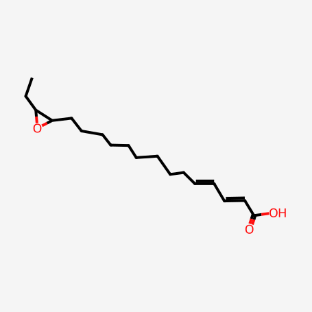 CCC1OC1CCCCCCCCCC=CC=CC(=O)O